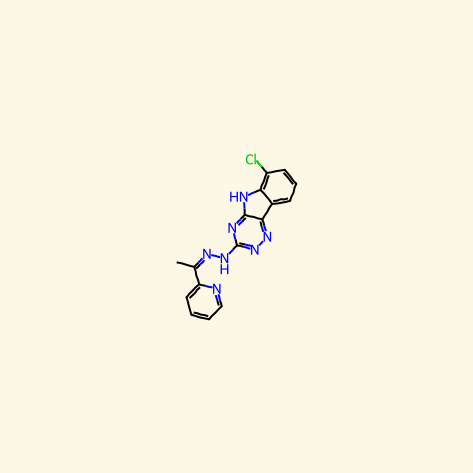 CC(=NNc1nnc2c(n1)[nH]c1c(Cl)cccc12)c1ccccn1